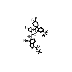 CC(C)(C)OC(=O)n1ncc2c(C#N)c(NC(=O)[C@H]3C[C@@H](F)CN3C(=O)C3(c4ccc(S(C)(=O)=O)cc4)CCC(F)(F)CC3)ccc21